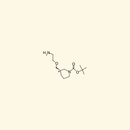 CC(C)(C)OC(=O)N1CCC[C@@H](COCCN)C1